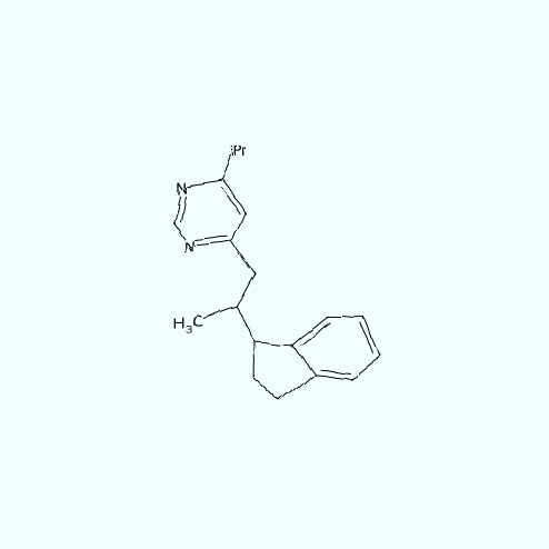 CC(C)c1cc(CC(C)C2CCc3ccccc32)ncn1